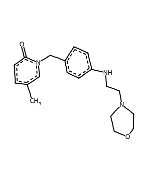 Cc1ccc(=O)n(Cc2ccc(NCCN3CCOCC3)cc2)c1